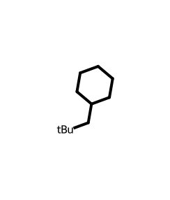 CC(C)(C)CC1CCCCC1